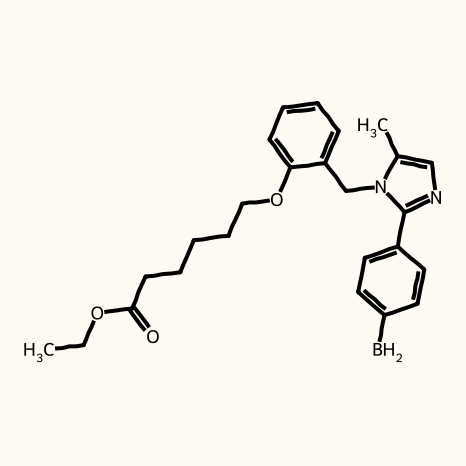 Bc1ccc(-c2ncc(C)n2Cc2ccccc2OCCCCCC(=O)OCC)cc1